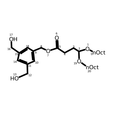 CCCCCCCCOC(CCC(=O)OCc1cc(CO)cc(CO)c1)OCCCCCCCC